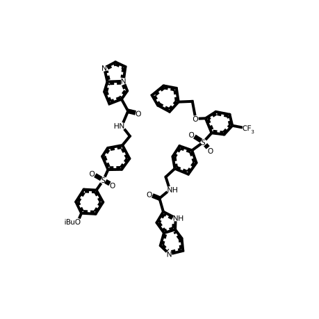 CC(C)COc1ccc(S(=O)(=O)c2ccc(CNC(=O)c3ccc4nccn4c3)cc2)cc1.O=C(NCc1ccc(S(=O)(=O)c2cc(C(F)(F)F)ccc2OCc2ccccc2)cc1)c1cc2cnccc2[nH]1